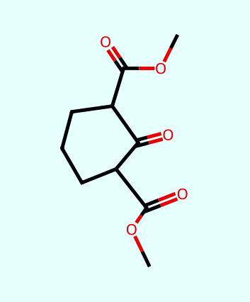 COC(=O)C1CCCC(C(=O)OC)C1=O